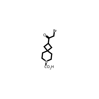 O=C(CBr)C1CC2(CCN(C(=O)O)CC2)C1